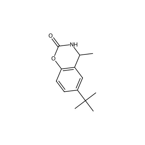 CC1NC(=O)Oc2ccc(C(C)(C)C)cc21